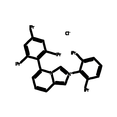 CC(C)c1cc(C(C)C)c(-c2cccc3c[n+](-c4c(C(C)C)cccc4C(C)C)cn23)c(C(C)C)c1.[Cl-]